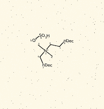 CCCCCCCCCCCC[N+](C)(C)CCCCCCCCCCC.O=S(=O)([O-])O